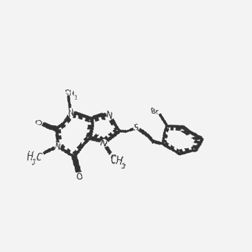 Cn1c(=O)c2c(nc(SCc3ccccc3Br)n2C)n(C)c1=O